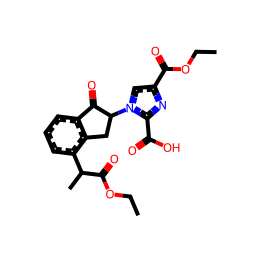 CCOC(=O)c1cn(C2Cc3c(cccc3C(C)C(=O)OCC)C2=O)c(C(=O)O)n1